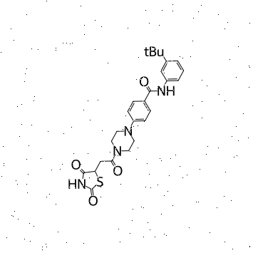 CC(C)(C)c1cccc(NC(=O)c2ccc(N3CCN(C(=O)CC4SC(=O)NC4=O)CC3)cc2)c1